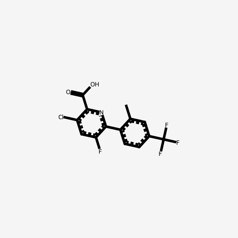 Cc1cc(C(F)(F)F)ccc1-c1nc(C(=O)O)c(Cl)cc1F